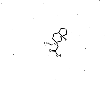 NC[C@]1(CC(=O)O)CCC2CCC[C@@H]2C1